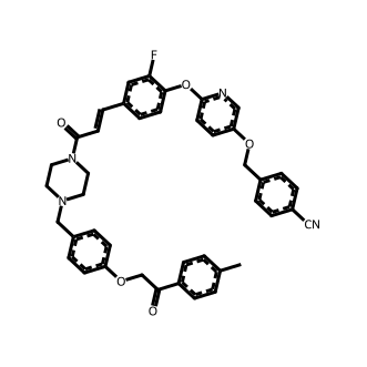 Cc1ccc(C(=O)COc2ccc(CN3CCN(C(=O)/C=C/c4ccc(Oc5ccc(OCc6ccc(C#N)cc6)cn5)c(F)c4)CC3)cc2)cc1